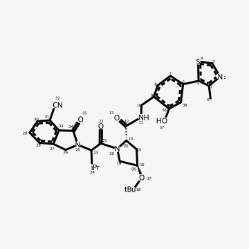 Cc1ncsc1-c1ccc(CNC(=O)[C@@H]2C[C@@H](OC(C)(C)C)CN2C(=O)C(C(C)C)N2Cc3cccc(C#N)c3C2=O)c(O)c1